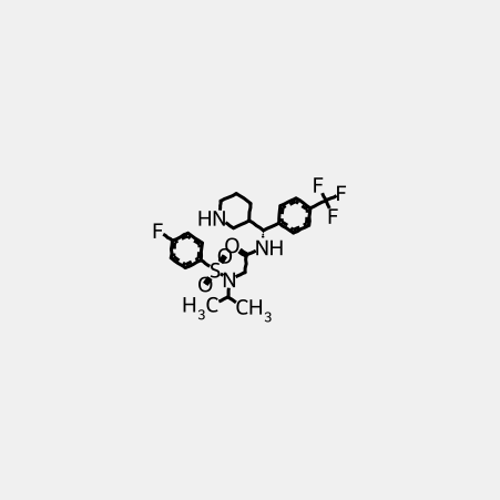 CC(C)N(CC(=O)N[C@@H](c1ccc(C(F)(F)F)cc1)C1CCCNC1)S(=O)(=O)c1ccc(F)cc1